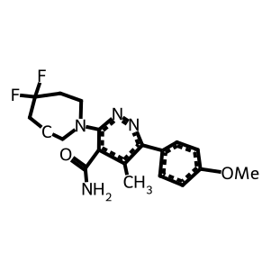 COc1ccc(-c2nnc(N3CCCC(F)(F)CC3)c(C(N)=O)c2C)cc1